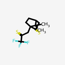 CC1(C)C2CCC1(CC(=S)C(F)(F)F)C(=S)C2